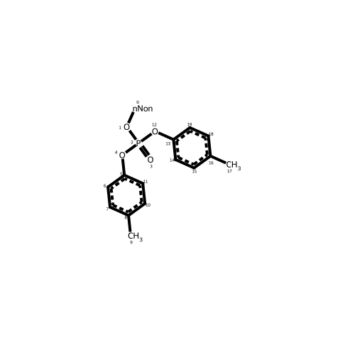 CCCCCCCCCOP(=O)(Oc1ccc(C)cc1)Oc1ccc(C)cc1